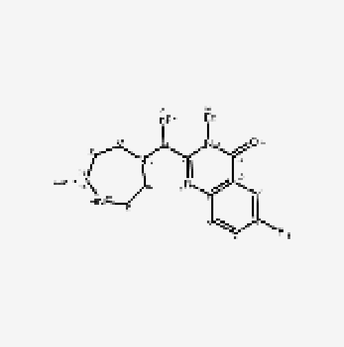 CCCC(c1nc2ccc(F)cc2c(=O)n1CC)N1CCN[C@H](C)CC1